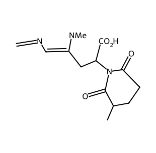 C=N/C=C(/CC(C(=O)O)N1C(=O)CCC(C)C1=O)NC